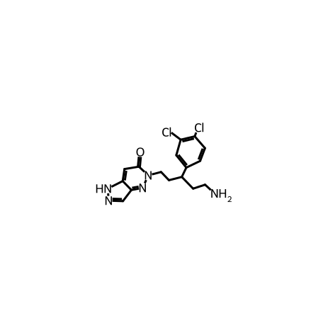 NCCC(CCn1nc2cn[nH]c2cc1=O)c1ccc(Cl)c(Cl)c1